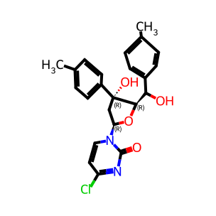 Cc1ccc(C(O)[C@H]2O[C@@H](n3ccc(Cl)nc3=O)C[C@@]2(O)c2ccc(C)cc2)cc1